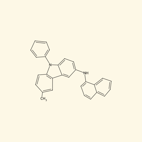 Cc1ccc2c(c1)c1cc(Nc3cccc4ccccc34)ccc1n2-c1ccccc1